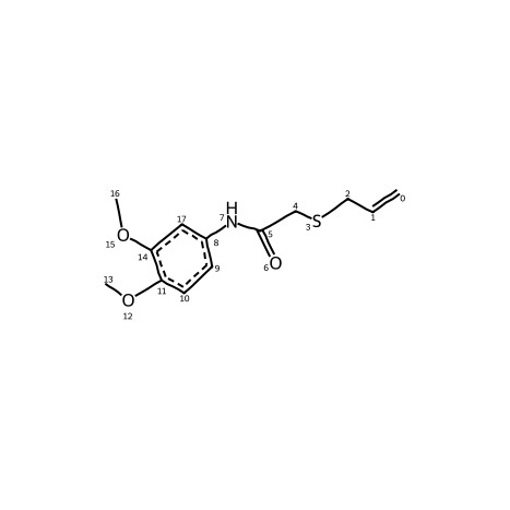 C=CCSCC(=O)Nc1ccc(OC)c(OC)c1